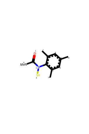 CNC(=O)N(S)c1c(C)cc(C)cc1C